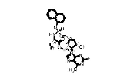 CCCCCOC(=O)[C@H](CC(C)C)NP(=O)(OC[C@@H]1C[C@H](O)C(n2cnc3c(N)nc(F)nc32)O1)Oc1cccc2ccccc12